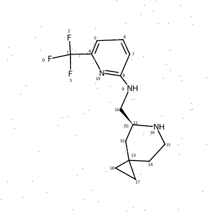 FC(F)(F)c1cccc(NC[C@@H]2CC3(CCN2)CC3)n1